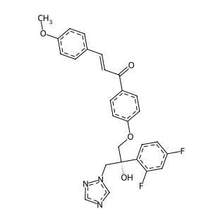 COc1ccc(/C=C/C(=O)c2ccc(OC[C@](O)(Cn3cncn3)c3ccc(F)cc3F)cc2)cc1